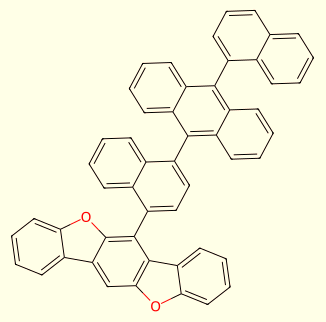 c1ccc2c(-c3c4ccccc4c(-c4ccc(-c5c6oc7ccccc7c6cc6oc7ccccc7c56)c5ccccc45)c4ccccc34)cccc2c1